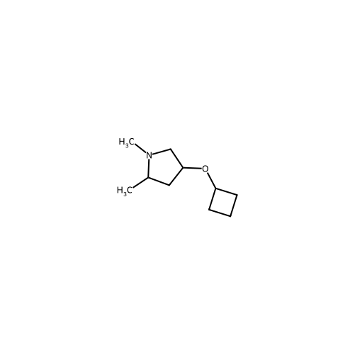 CC1CC(OC2CCC2)CN1C